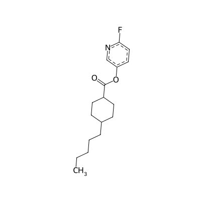 CCCCCC1CCC(C(=O)Oc2ccc(F)nc2)CC1